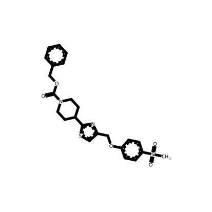 CS(=O)(=O)c1ccc(OCc2csc(C3CCN(C(=O)OCc4ccccc4)CC3)n2)cc1